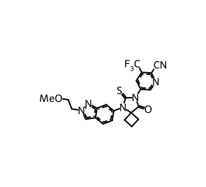 COCCn1cc2ccc(N3C(=S)N(c4cnc(C#N)c(C(F)(F)F)c4)C(=O)C34CCC4)cc2n1